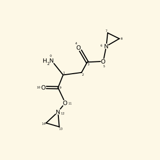 NC(CC(=O)ON1CC1)C(=O)ON1CC1